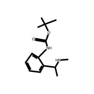 CNC(C)c1ccccc1NC(=O)OC(C)(C)C